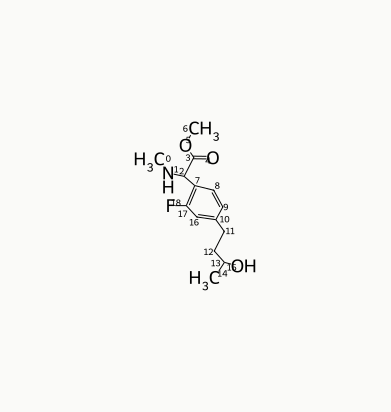 CNC(C(=O)OC)c1ccc(CCC(C)O)cc1F